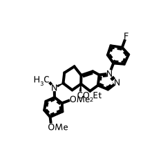 CCOC(=O)[C@]12Cc3cnn(-c4ccc(F)cc4)c3C=C1CC[C@H](N(C)c1ccc(OC)cc1OC)C2